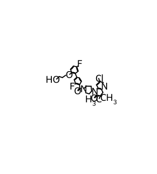 CC1(C)Cc2ncc(Cl)cc2N(C2CCN(C(=O)c3ccc(-c4cc(F)ccc4OCCCO)cc3F)CC2)C1=O